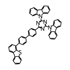 c1ccc2c(c1)sc1c(-c3ccc(-c4ccc(-c5nc(-n6c7ccccc7c7ccccc76)nc(-n6c7ccccc7c7ccccc76)n5)cc4)cc3)cccc12